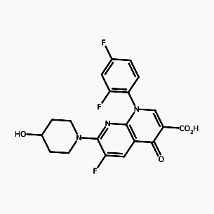 O=C(O)c1cn(-c2ccc(F)cc2F)c2nc(N3CCC(O)CC3)c(F)cc2c1=O